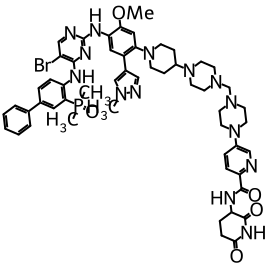 COc1cc(N2CCC(N3CCN(CN4CCN(c5ccc(C(=O)NC6CCC(=O)NC6=O)nc5)CC4)CC3)CC2)c(-c2cnn(C)c2)cc1Nc1ncc(Br)c(Nc2ccc(-c3ccccc3)cc2P(C)(C)=O)n1